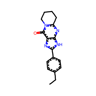 CCc1ccc(-c2nc3c(=O)n4c(nc3[nH]2)CCCC4)cc1